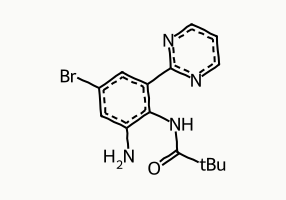 CC(C)(C)C(=O)Nc1c(N)cc(Br)cc1-c1ncccn1